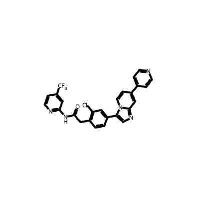 O=C(Cc1ccc(-c2cnc3cc(-c4ccncc4)ccn23)cc1Cl)Nc1cc(C(F)(F)F)ccn1